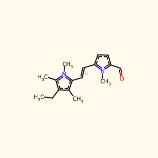 CCc1c(C)c(/C=C/c2ccc(C=O)n2C)n(C)c1C